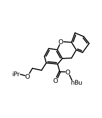 CCCCOC(=O)c1c(CCOC(C)C)ccc2c1Cc1ccccc1O2